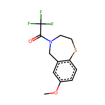 COc1ccc2c(c1)CN(C(=O)C(F)(F)F)CCS2